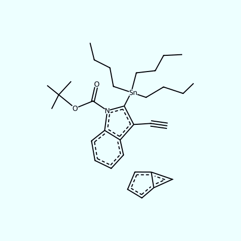 C#Cc1[c]([Sn]([CH2]CCC)([CH2]CCC)[CH2]CCC)n(C(=O)OC(C)(C)C)c2ccccc12.c1cc2cc-2c1